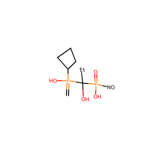 C=P(O)(C1CCC1)C(O)(CC)P(=O)(O)N=O